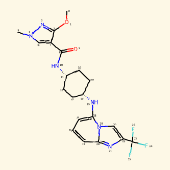 COc1nn(C)cc1C(=O)N[C@H]1CC[C@@H](Nc2cccc3nc(C(F)(F)F)cn23)CC1